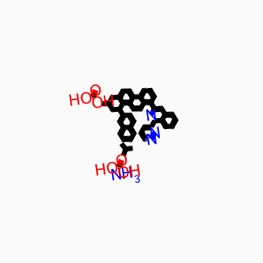 CC(C)C.CC1Cc2ccc3c(ccc4c(-c5cc6ccccc6c(-c6cccnn6)n5)cccc43)c2C(c2ccc3ccccc3c2)C1.N.O=C(O)O.O=C(O)O